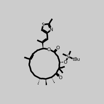 C/C1=C/C[C@@H](/C(C)=C/c2csc(C)n2)OC(=O)C[C@H](O[Si](C)(C)C(C)(C)C)C(C)(C)C(=O)[C@H](C)[C@@H](C)[C@H](C)CCC1